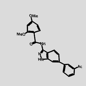 COc1ccc(C(=O)Nc2n[nH]c3cc(-c4cccc(C(C)=O)c4)ccc23)c(OC)c1